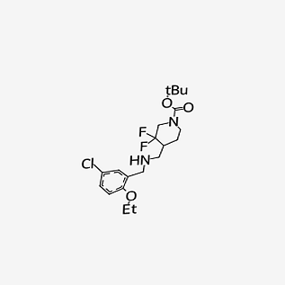 CCOc1ccc(Cl)cc1CNCC1CCN(C(=O)OC(C)(C)C)CC1(F)F